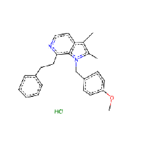 COc1ccc(Cn2c(C)c(C)c3ccnc(CCc4ccccc4)c32)cc1.Cl